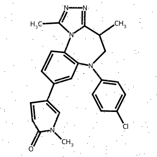 Cc1nnc2n1-c1ccc(-c3ccc(=O)n(C)c3)cc1N(c1ccc(Cl)cc1)CC2C